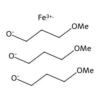 COCCC[O-].COCCC[O-].COCCC[O-].[Fe+3]